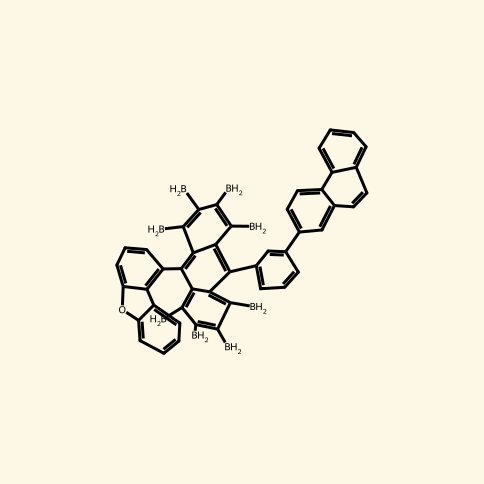 Bc1c(B)c(B)c2c(-c3cccc4oc5ccccc5c34)c3c(B)c(B)c(B)c(B)c3c(-c3cccc(-c4ccc5c(ccc6ccccc65)c4)c3)c2c1B